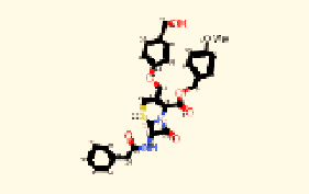 COc1ccc(COC(=O)C2=C(COc3ccc(CO)cc3)CSC3C(NC(=O)Cc4ccccc4)C(=O)N23)cc1